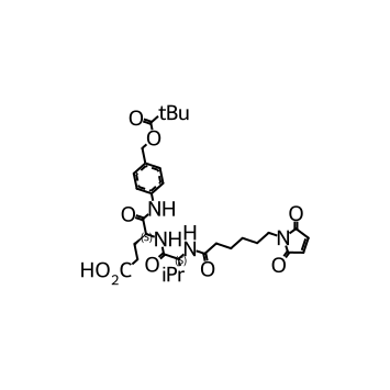 CC(C)[C@H](NC(=O)CCCCCN1C(=O)C=CC1=O)C(=O)N[C@@H](CCC(=O)O)C(=O)Nc1ccc(COC(=O)C(C)(C)C)cc1